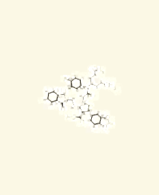 CCCC(CCC)N(C(=O)CN1C[C@H](c2ccc3c(c2)OCO3)[C@@H](C(=O)O)[C@@H]1CCN1Cc2ccccc2C1=O)c1ccc(F)c(C)c1